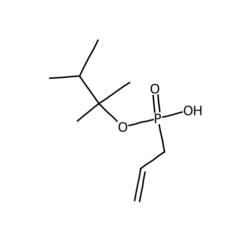 C=CCP(=O)(O)OC(C)(C)C(C)C